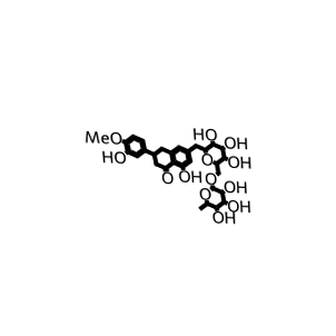 COc1ccc(C2CC(=O)c3c(O)cc(CC4OC(COC5OC(C)C(O)C(O)C5O)C(O)C(O)C4O)cc3C2)cc1O